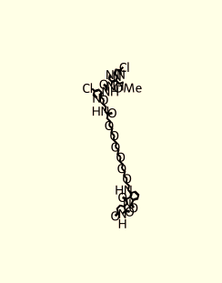 CO[C@@H](C)c1c(NC(=O)Nc2cc(Cl)cnc2OCCNC(=O)CCOCCOCCOCCOCCOCCOCCNc2cccc3c2C(=O)N(C2CCC(=O)NC2=O)C3=O)cnc2cc(Cl)nn12